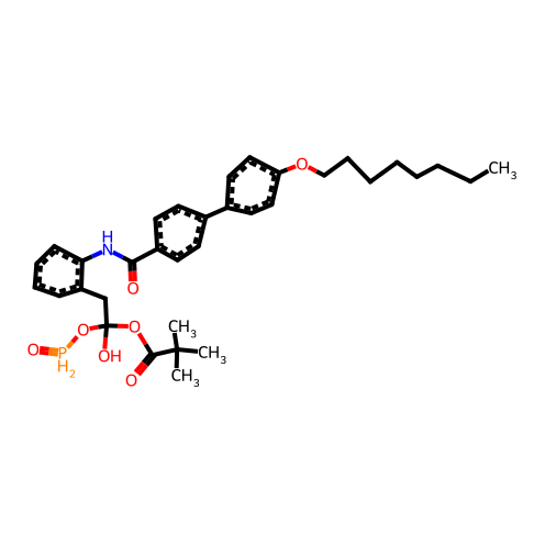 CCCCCCCCOc1ccc(-c2ccc(C(=O)Nc3ccccc3CC(O)(O[PH2]=O)OC(=O)C(C)(C)C)cc2)cc1